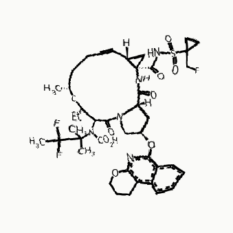 CC[C@@H]1C[C@H](C)CCC=C[C@@H]2C[C@@]2(C(=O)NS(=O)(=O)C2(CF)CC2)NC(=O)[C@@H]2C[C@@H](Oc3nc4c(c5ccccc35)CCCO4)CN2C(=O)[C@H]1N(C(=O)O)C(C)(C)C(C)(F)F